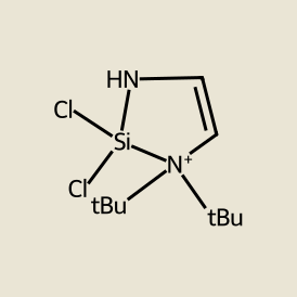 CC(C)(C)[N+]1(C(C)(C)C)C=CN[Si]1(Cl)Cl